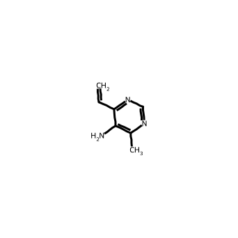 C=Cc1ncnc(C)c1N